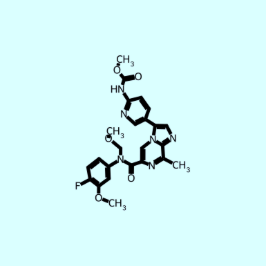 COCN(C(=O)c1cn2c(-c3ccc(NC(=O)OC)nc3)cnc2c(C)n1)c1ccc(F)c(OC)c1